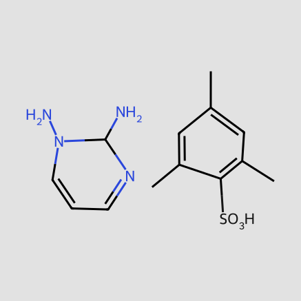 Cc1cc(C)c(S(=O)(=O)O)c(C)c1.NC1N=CC=CN1N